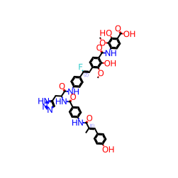 COc1c(/C=C(\F)c2ccc(NC(=O)C(Cc3cnn[nH]3)NC(=O)c3ccc(NC(=O)/C(C)=C/c4ccc(O)cc4)cc3)cc2)ccc(C(=O)Nc2ccc(C(=O)O)c(O)c2OC)c1O